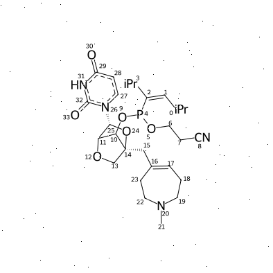 CC(C)/C=C(/C(C)C)P(OCCC#N)OC1C2OC[C@]1(CC1=CCCN(C)CC1)O[C@H]2n1ccc(=O)[nH]c1=O